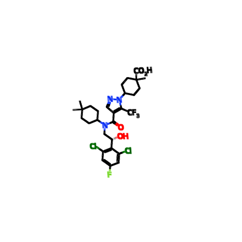 CC1(C)CCC(N(C[C@H](O)c2c(Cl)cc(F)cc2Cl)C(=O)c2cnn(C3CCC(C)(C(=O)O)CC3)c2C(F)(F)F)CC1